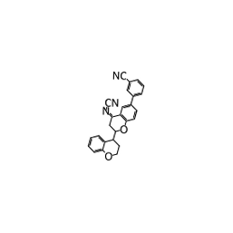 N#C/N=C1/CC(C2CCOc3ccccc32)Oc2ccc(-c3cccc(C#N)c3)cc21